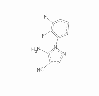 N#Cc1cnn(-c2cccc(F)c2F)c1N